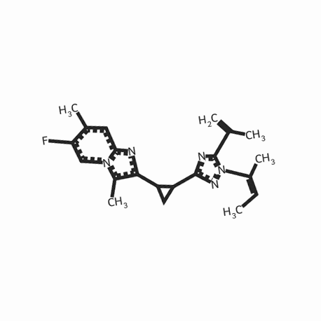 C=C(C)c1nc(C2CC2c2nc3cc(C)c(F)cn3c2C)nn1/C(C)=C\C